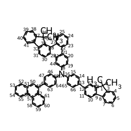 CC1(C)c2ccccc2-c2ccc(-c3ccc(N(c4ccc(-c5ccccc5-c5cccc6c5C(C)(C)c5ccccc5-6)cc4)c4ccc(-c5cc6ccccc6c6ccccc56)cc4)cc3)cc21